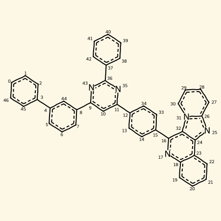 c1ccc(-c2cccc(-c3cc(-c4ccc(-c5nc6ccccc6c6nc7ccccn7c56)cc4)nc(-c4ccccc4)n3)c2)cc1